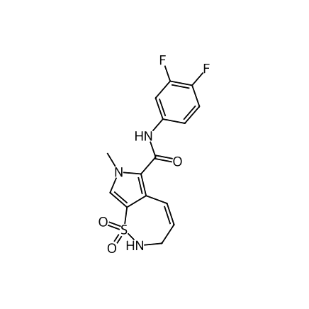 Cn1cc2c(c1C(=O)Nc1ccc(F)c(F)c1)C=CCNS2(=O)=O